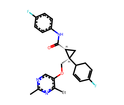 CCc1nc(C)ncc1OC[C@@]1(C2C=CC(F)=CC2)C[C@H]1C(=O)Nc1ccc(F)cc1